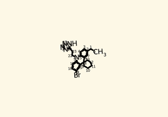 CCc1ccc2c(c1)C1(CCCCC1)c1cc(Br)ccc1N2CCc1nnn[nH]1